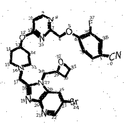 N#Cc1ccc(OCc2nccc(OC3CCN(Cc4nc5ncc(Br)cc5n4CC4CCO4)CC3)n2)c(F)c1